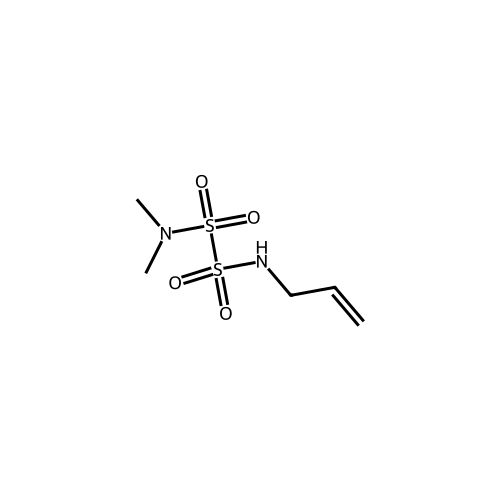 C=CCNS(=O)(=O)S(=O)(=O)N(C)C